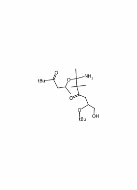 CC(CC(=O)C(C)(C)C)OC(C)(N)C(C)(C)C(=O)CC(CO)OC(C)(C)C